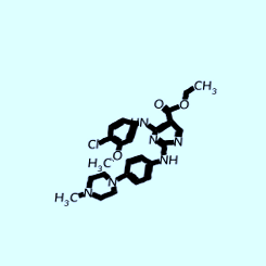 CCOC(=O)c1cnc(Nc2ccc(N3CCN(C)CC3)cc2)nc1Nc1ccc(Cl)c(OC)c1